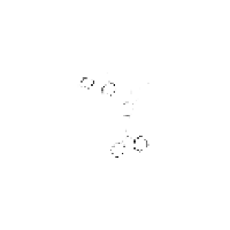 COc1cc(NC(=O)C(CCC(C)C)NC(=O)OCC2c3ccccc3-c3ccccc32)ccc1-c1cnco1